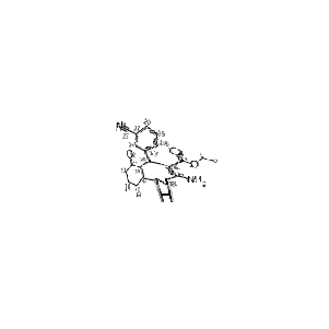 CCOC(=O)C1=C(N)NC2=C(C(=O)CCC2)C1c1cccc(C#N)c1